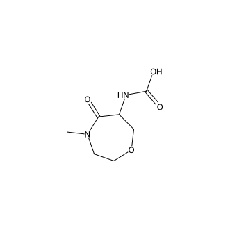 CN1CCOCC(NC(=O)O)C1=O